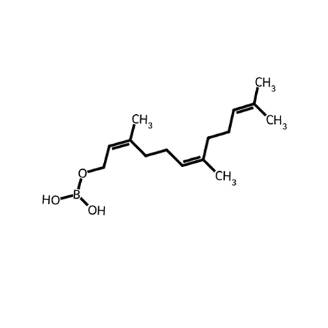 CC(C)=CCCC(C)=CCCC(C)=CCOB(O)O